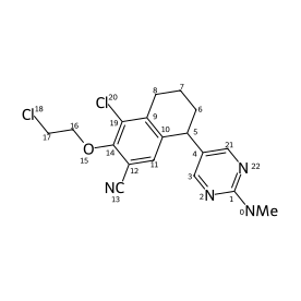 CNc1ncc(C2CCCc3c2cc(C#N)c(OCCCl)c3Cl)cn1